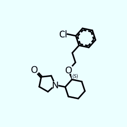 O=C1CCN(C2CCCC[C@@H]2OCCc2ccccc2Cl)C1